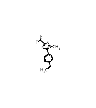 C=Cc1ccc(-c2nc(C(F)F)nn2C)cc1